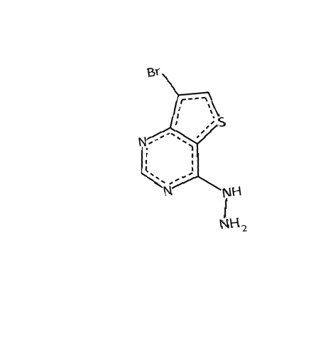 NNc1ncnc2c(Br)csc12